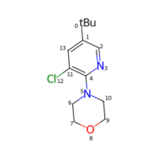 CC(C)(C)c1cnc(N2CCOCC2)c(Cl)c1